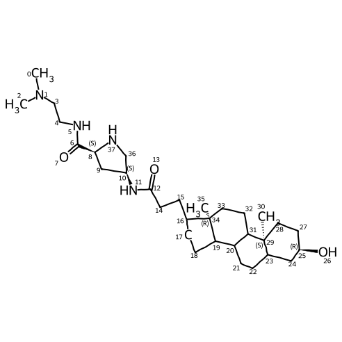 CN(C)CCNC(=O)[C@@H]1C[C@H](NC(=O)CCC2CCC3C4CCC5C[C@H](O)CC[C@]5(C)C4CC[C@]23C)CN1